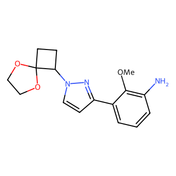 COc1c(N)cccc1-c1ccn(C2CCC23OCCO3)n1